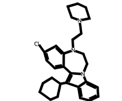 Clc1ccc2c(c1)N(CCN1CCCCC1)CCn1c-2c(C2CCCCC2)c2ccccc21